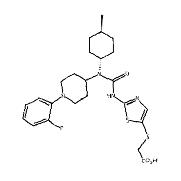 C[C@H]1CC[C@H](N(C(=O)Nc2ncc(SCC(=O)O)s2)C2CCN(c3ccccc3F)CC2)CC1